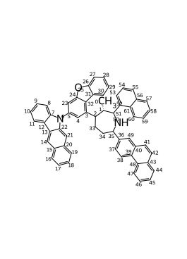 C[C@H]1C(c2cc(-n3c4ccccc4c4cc5ccccc5cc43)cc3oc4ccccc4c23)CCC(c2ccc3c(ccc4ccccc43)c2)NC1c1cccc2ccccc12